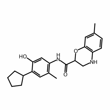 Cc1ccc2c(c1)OC(C(=O)Nc1cc(O)c(C3CCCC3)cc1C)CN2